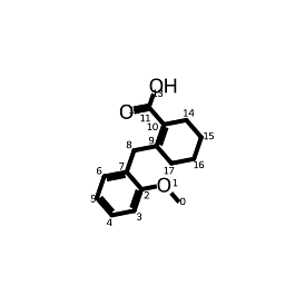 COc1ccccc1CC1=C(C(=O)O)CCCC1